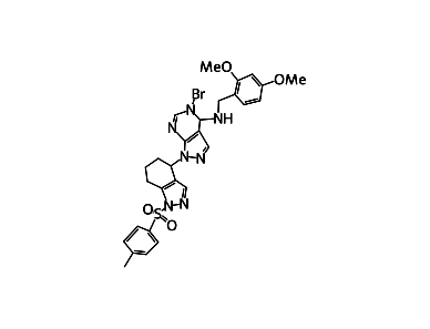 COc1ccc(CNC2c3cnn(C4CCCc5c4cnn5S(=O)(=O)c4ccc(C)cc4)c3N=CN2Br)c(OC)c1